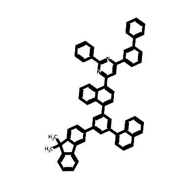 CC1(C)c2ccccc2-c2cc(-c3cc(-c4cccc5ccccc45)cc(-c4ccc(-c5cc(-c6cccc(-c7ccccc7)c6)nc(-c6ccccc6)n5)c5ccccc45)c3)ccc21